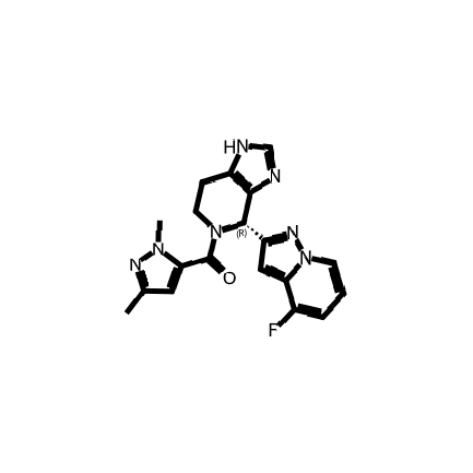 Cc1cc(C(=O)N2CCc3[nH]cnc3[C@@H]2c2cc3c(F)cccn3n2)n(C)n1